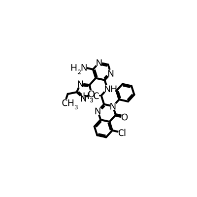 CCc1noc(-c2c(N)ncnc2N[C@@H](C)c2nc3cccc(Cl)c3c(=O)n2-c2ccccc2)n1